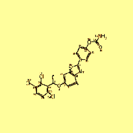 CC(Oc1ccc2nc(-c3ccc(OC(N)=O)cc3)sc2c1)c1c(Cl)ccc(Cl)c1Cl